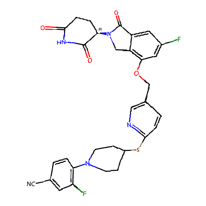 N#Cc1ccc(N2CCC(Sc3ccc(COc4cc(F)cc5c4CN([C@@H]4CCC(=O)NC4=O)C5=O)cn3)CC2)c(F)c1